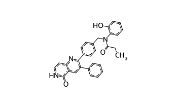 CCC(=O)N(Cc1ccc(-c2nc3cc[nH]c(=O)c3cc2-c2ccccc2)cc1)c1ccccc1O